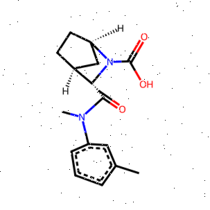 Cc1cccc(N(C)C(=O)[C@@H]2[C@H]3CC[C@H](C3)N2C(=O)O)c1